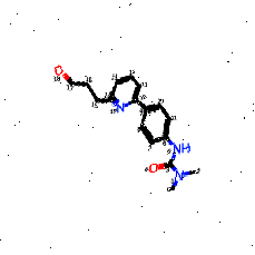 CN(C)C(=O)Nc1ccc(-c2cccc(CCC=O)n2)cc1